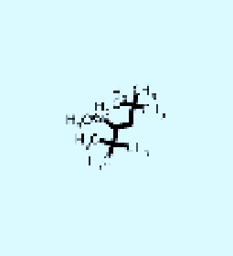 C[SiH2]C(CC(C)(C)C)C(C)(C)C